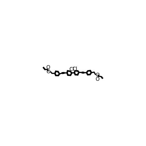 C=CC(=O)OCCc1ccc(C#Cc2ccc(-c3ccc(C#Cc4ccc(CCOC(=O)C=C)cc4)cc3Cl)c(Cl)c2)cc1